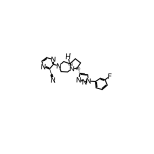 N#Cc1nccnc1N1CCN2[C@@H](CC[C@@H]2c2cn(-c3cccc(F)c3)nn2)C1